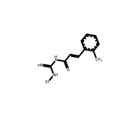 CCNC(=N)NC(=O)C=Cc1ccccc1C